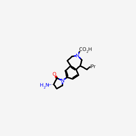 CC(C)CC1CN(C(=O)O)CCc2cc(N3CC[C@H](N)C3=O)ccc21